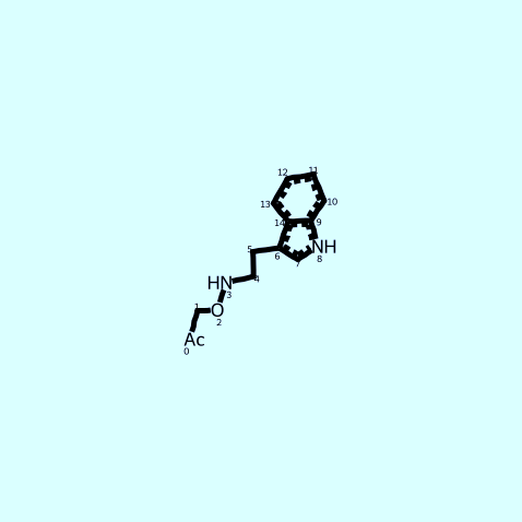 CC(=O)CONCCc1c[nH]c2ccccc12